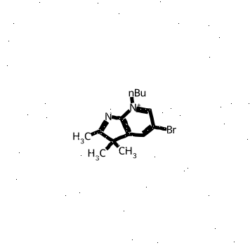 CCCC[n+]1cc(Br)cc2c1N=C(C)C2(C)C